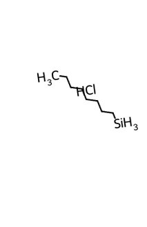 CCCCCCCC[SiH3].Cl